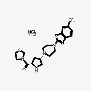 Cl.Cl.O=C([C@@H]1C[C@H](N2CCN(c3nc4ccc(C(F)(F)F)cc4s3)CC2)CN1)N1CCSC1